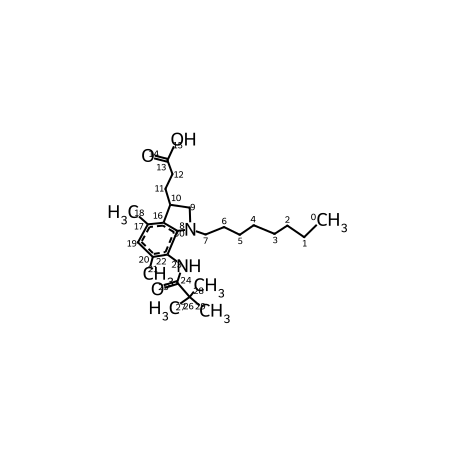 CCCCCCCCN1CC(CCC(=O)O)c2c(C)cc(C)c(NC(=O)C(C)(C)C)c21